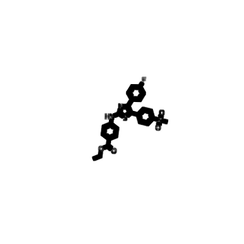 CCOC(=O)c1ccc(Nc2nc(-c3ccc(F)cc3)c(-c3ccc(S(C)(=O)=O)cc3)s2)cc1